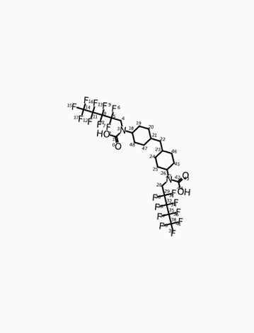 O=C(O)N(CC(F)(F)C(F)(F)C(F)(F)C(F)(F)F)C1CCC(CC2CCC(N(CC(F)(F)C(F)(F)C(F)(F)C(F)(F)F)C(=O)O)CC2)CC1